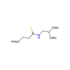 CCCCCCCCCC(=S)NCC(OC)OC